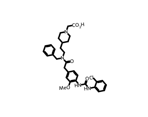 COc1cc(CC(=O)N(CCC2CCN(CC(=O)O)CC2)Cc2ccccc2)ccc1NC(=O)Nc1ccccc1Cl